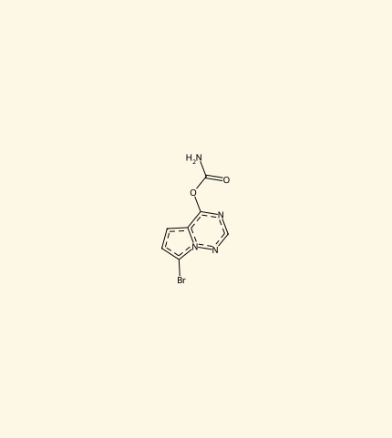 NC(=O)Oc1ncnn2c(Br)ccc12